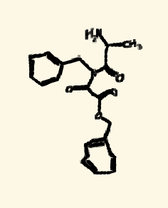 C[C@H](N)C(=O)N([CH]c1ccccc1)C(=O)C(=O)OCc1ccccc1